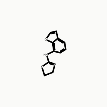 c1cc(NC2=NCCS2)c2occc2c1